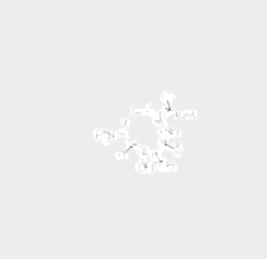 NC1CCC[C@@H](C(=O)O)NC(=O)C(O)C(O)C1=O